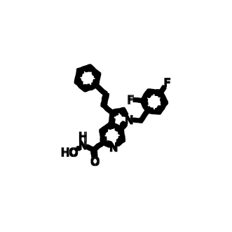 O=C(NO)c1cc2c(C=Cc3ccccc3)cn(Cc3ccc(F)cc3F)c2cn1